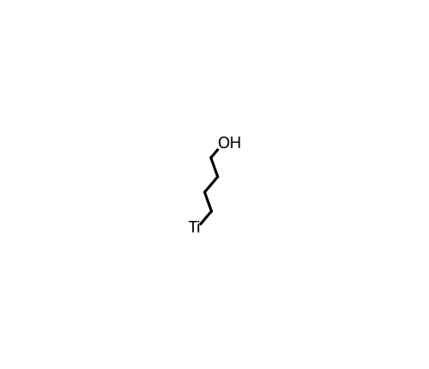 OCCC[CH2][Ti]